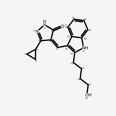 O=C1NN=C(C2CC2)C1=Cc1c(CCCCO)[nH]c2ccccc12